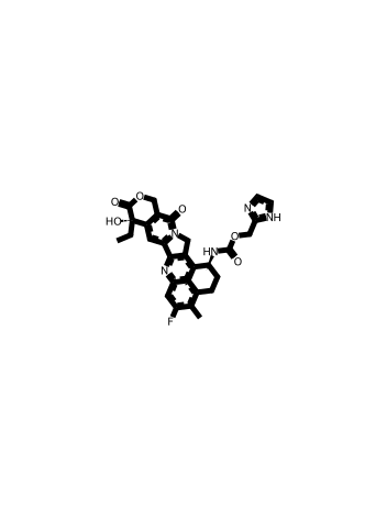 CC[C@@]1(O)C(=O)OCc2c1cc1n(c2=O)Cc2c-1nc1cc(F)c(C)c3c1c2[C@@H](NC(=O)OCc1ncc[nH]1)CC3